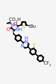 C[C@@H](NC(=O)[C@H](Cc1ccc(C2N=CC(c3ccc(-c4ccc(C(F)(F)F)cc4)cc3F)=CN2)cc1)NC(=O)c1ccc(C(C)(C)C)s1)C(=O)O